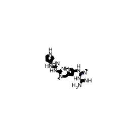 C/N=C(/NC(=N)N)Nc1coc(CN(C)C(=N)NC(=N)Nc2cc[nH]c2)c1